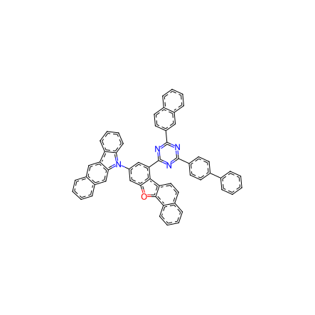 c1ccc(-c2ccc(-c3nc(-c4ccc5ccccc5c4)nc(-c4cc(-n5c6ccccc6c6cc7ccccc7cc65)cc5oc6c7ccccc7ccc6c45)n3)cc2)cc1